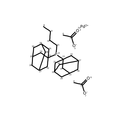 CC(=O)[O-].CC(=O)[O-].CCCCP(C12CC3CC(CC(C3)C1)C2)C12CC3CC(CC(C3)C1)C2.[Pd+2]